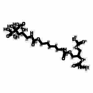 CCNC(=O)OC(COC(=O)CC)COC(=O)NCCCCCOC(=O)NCCCC(O)(P(=O)(O)O)P(=O)(O)O